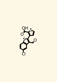 O=Cc1c(-c2ccsc2C(=O)O)sc2ccc(Cl)cc12